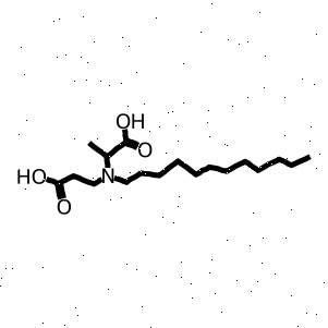 CCCCCCCCCCCCN(CCC(=O)O)C(C)C(=O)O